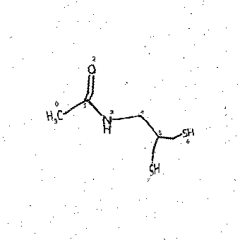 CC(=O)NCC(S)S